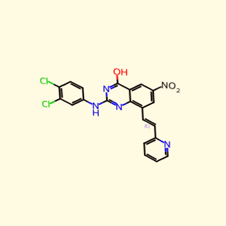 O=[N+]([O-])c1cc(/C=C/c2ccccn2)c2nc(Nc3ccc(Cl)c(Cl)c3)nc(O)c2c1